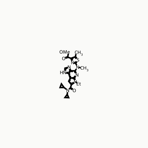 CCn1c(C(=O)N(C2CC2)C2CC2)cc2c3[nH]cnc3c(N(C)c3nc(C(=O)OC)c(C)s3)nc21